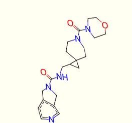 O=C(NCC1CC12CCN(C(=O)N1CCOCC1)CC2)N1Cc2ccncc2C1